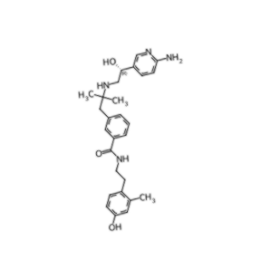 Cc1cc(O)ccc1CCNC(=O)c1cccc(CC(C)(C)NC[C@H](O)c2ccc(N)nc2)c1